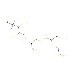 CC(CS)(CS)C(S)C(S)CSC(CS)CSCC(CS)SCCS